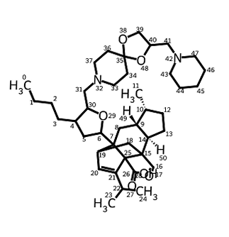 CCCCC1CC(C23C[C@@H]4[C@H](C)CC[C@H]4C4(C=O)CC2C=C(C(C)C)C34C(=O)O)OC1CN1CCC2(CC1)OCC(CN1CCCCC1)O2